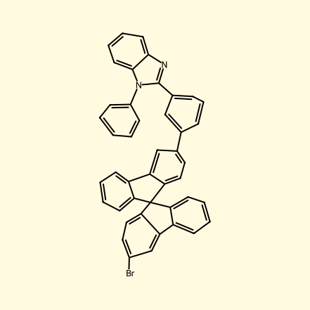 Brc1ccc2c(c1)-c1ccccc1C21c2ccccc2-c2cc(-c3cccc(-c4nc5ccccc5n4-c4ccccc4)c3)ccc21